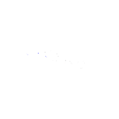 Cc1cc(NCC(C)(C)CN(C)C)nc2ccc(NC(=O)/C=C/c3ccc(OC(F)(F)F)cc3)cc12